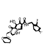 O=C(NCc1ccc(F)cc1F)c1cn2c(c(O)c1=O)C(=O)N(C[C@@H]1CCCO1)CN2